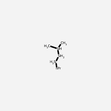 CCC[SiH2][SiH2][SiH](C)C